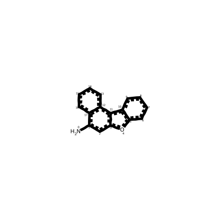 Nc1cc2oc3ccccc3c2c2ccccc12